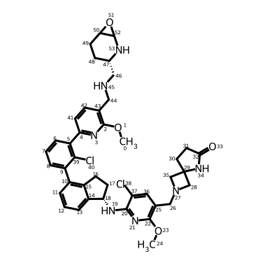 COc1nc(-c2cccc(-c3cccc4c3CC[C@@H]4Nc3nc(OC)c(CN4CC5(CCC(=O)N5)C4)cc3Cl)c2Cl)ccc1CNC[C@@H]1CCC2OC2N1